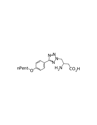 CCCCCOc1ccc(-c2nnn(CC(N)CC(=O)O)n2)cc1